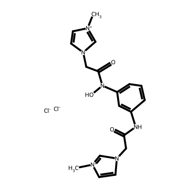 C[n+]1ccn(CC(=O)Nc2cccc(N(O)C(=O)Cn3cc[n+](C)c3)c2)c1.[Cl-].[Cl-]